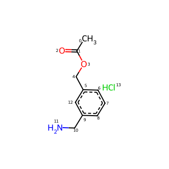 CC(=O)OCc1cccc(CN)c1.Cl